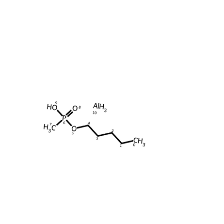 CCCCCOP(C)(=O)O.[AlH3]